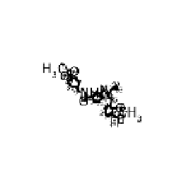 CCS(=O)(=O)c1ccc(CNC(=O)c2ccc3c(c2)nc(C2CC2)n3Cc2cccc(C(F)(F)F)c2OC)cc1